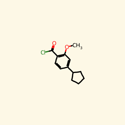 COc1cc(C2CCCC2)ccc1C(=O)Cl